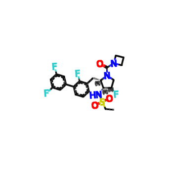 CCS(=O)(=O)N[C@H]1[C@@H](F)CN(C(=O)N2CCC2)[C@H]1Cc1cccc(-c2cc(F)cc(F)c2)c1F